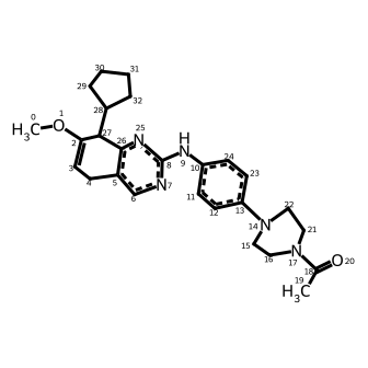 COC1=CCc2cnc(Nc3ccc(N4CCN(C(C)=O)CC4)cc3)nc2C1C1CCCC1